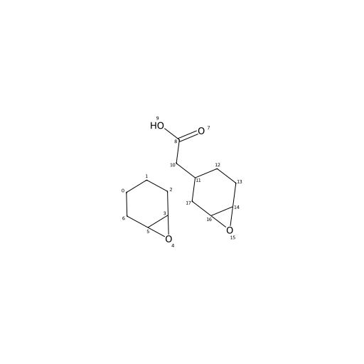 C1CCC2OC2C1.O=C(O)CC1CCC2OC2C1